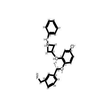 C[C@H](Oc1ccc(Cl)cc1OC1CN(Cc2ccccc2)C1)c1cccc(CF)c1